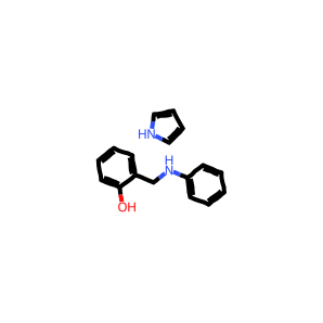 Oc1ccccc1CNc1ccccc1.c1cc[nH]c1